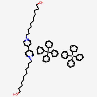 OCCCCCCCCCCC[n+]1ccc(-c2cc[n+](CCCCCCCCCCCO)cc2)cc1.c1ccc([B-](c2ccccc2)(c2ccccc2)c2ccccc2)cc1.c1ccc([B-](c2ccccc2)(c2ccccc2)c2ccccc2)cc1